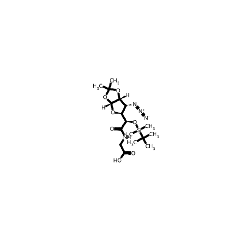 CC1(C)O[C@H]2O[C@H]([C@@H](O[Si](C)(C)C(C)(C)C)C(=O)NCC(=O)O)[C@@H](N=[N+]=[N-])[C@H]2O1